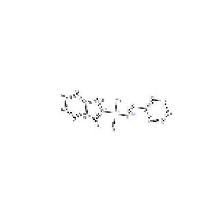 FC(F)(/C=C/c1ccccc1)c1nc2ccccc2o1